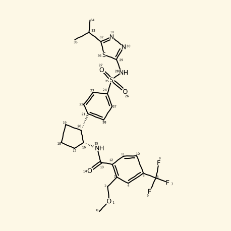 COCc1cc(C(F)(F)F)ccc1C(=O)N[C@@H]1CCC[C@@H]1c1ccc(S(=O)(=O)Nc2nnc(C(C)C)s2)cc1